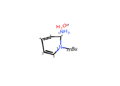 CCCCN1C=CC=CC1.N.O